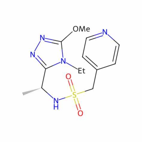 CCn1c(OC)nnc1[C@@H](C)NS(=O)(=O)Cc1ccncc1